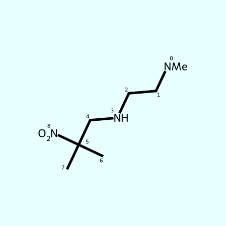 CNCCNCC(C)(C)[N+](=O)[O-]